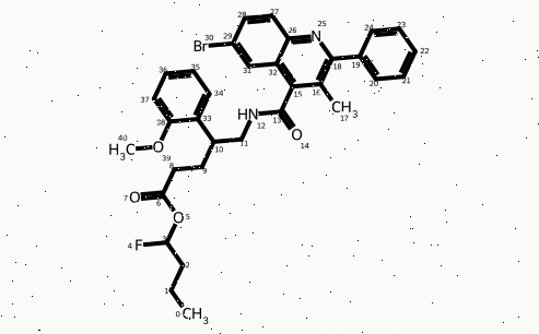 CCCC(F)OC(=O)CCC(CNC(=O)c1c(C)c(-c2ccccc2)nc2ccc(Br)cc12)c1ccccc1OC